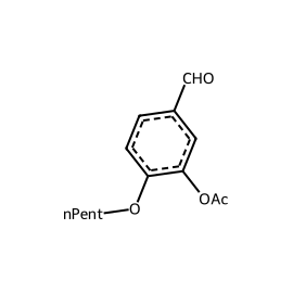 CCCCCOc1ccc(C=O)cc1OC(C)=O